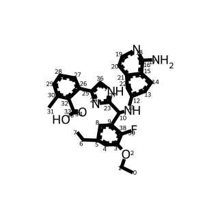 CCOc1cc(CC)cc(C(Nc2ccc3c(N)nccc3c2)c2nc(-c3cccc(C)c3C(=O)O)c[nH]2)c1F